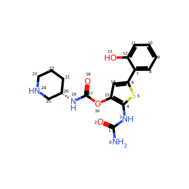 NC(=O)Nc1sc(-c2ccccc2O)cc1OC(=O)N[C@H]1CCCNC1